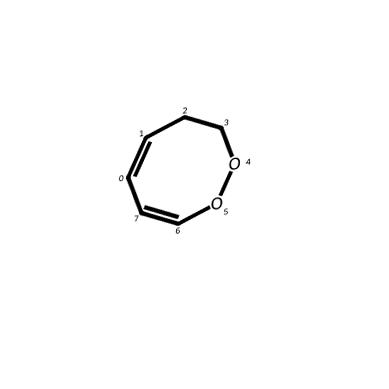 C1=CCCOOC=C1